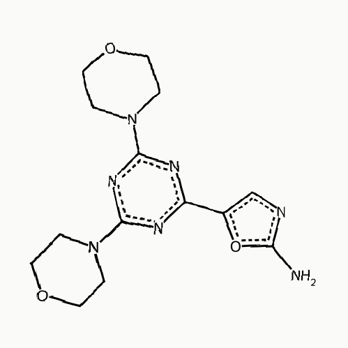 Nc1ncc(-c2nc(N3CCOCC3)nc(N3CCOCC3)n2)o1